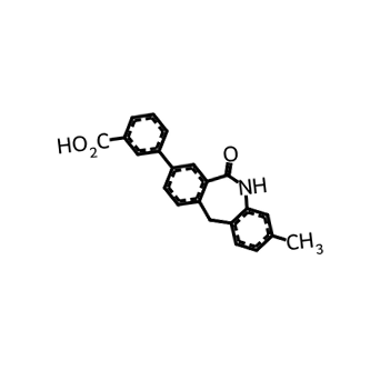 Cc1ccc2c(c1)NC(=O)c1cc(-c3cccc(C(=O)O)c3)ccc1C2